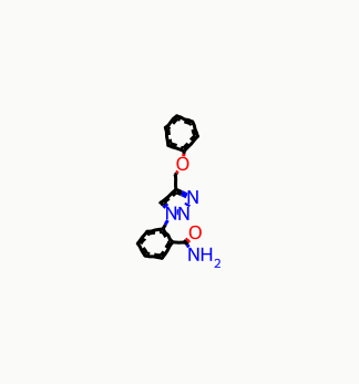 NC(=O)c1ccccc1-n1cc(COc2ccccc2)nn1